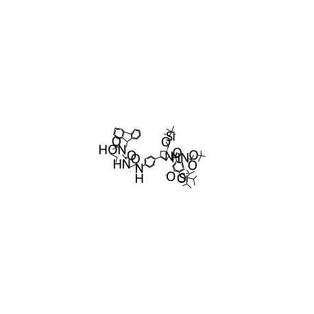 COc1cc(C(=O)N2C=C(c3ccc(NC(=O)[C@H](C)NC(=O)[C@H](C(C)C)N(CC4c5ccccc5-c5ccccc54)C(=O)O)cc3)C[C@H]2CO[Si](C)(C)C(C)(C)C)c(NC(=O)OC(C)(C)C)cc1O[Si](C(C)C)(C(C)C)C(C)C